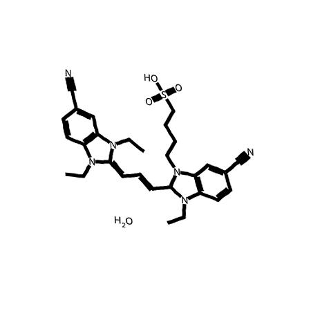 CCN1/C(=C/C=C/C2N(CC)c3ccc(C#N)cc3N2CCCCS(=O)(=O)O)N(CC)c2cc(C#N)ccc21.O